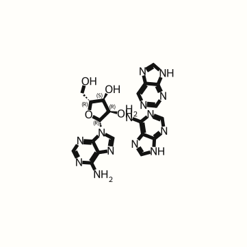 Nc1ncnc2[nH]cnc12.Nc1ncnc2c1ncn2[C@@H]1O[C@H](CO)[C@@H](O)[C@H]1O.c1ncc2nc[nH]c2n1